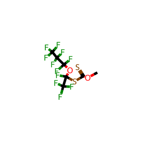 COC(=S)SC(F)(OC(F)(F)C(F)(F)C(F)(F)F)C(F)(F)F